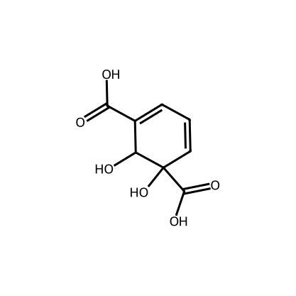 O=C(O)C1=CC=CC(O)(C(=O)O)C1O